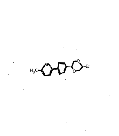 CC[C@@H]1CO[C@@H](c2ccc(-c3ccc(C)cc3)cc2)CO1